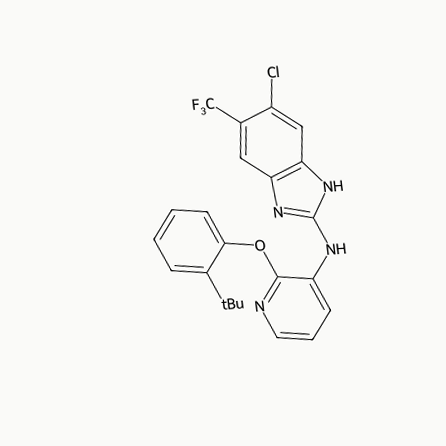 CC(C)(C)c1ccccc1Oc1ncccc1Nc1nc2cc(C(F)(F)F)c(Cl)cc2[nH]1